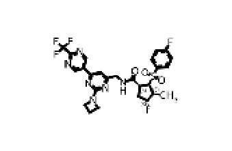 C[C@@H]1C(S(=O)(=O)c2ccc(F)cc2)[C@H](C(=O)NCc2cc(-c3cnc(C(F)(F)F)nc3)nc(N3CCC3)n2)C[C@H]1F